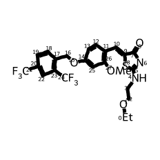 CCOCCNC1=NC(=O)C(=Cc2ccc(OCc3ccc(C(F)(F)F)cc3C(F)(F)F)cc2OC)S1